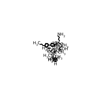 CCCCc1ccc(-c2ccc(C(=O)N[C@@H](CCCCN)C(=O)N[C@H](C(=O)N[C@@H](CC)C(=O)N[C@@H](CC(N)=O)C(=O)N[C@@H](C)B3OC4C[C@@H]5C[C@@H](C5(C)C)[C@]4(C)O3)[C@@H](C)O)cc2)cc1